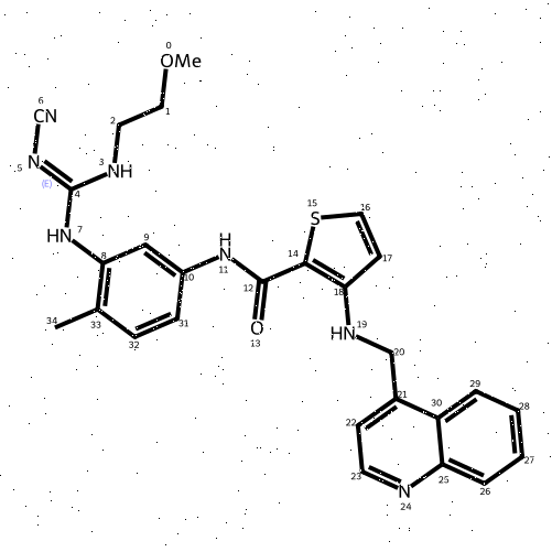 COCCN/C(=N\C#N)Nc1cc(NC(=O)c2sccc2NCc2ccnc3ccccc23)ccc1C